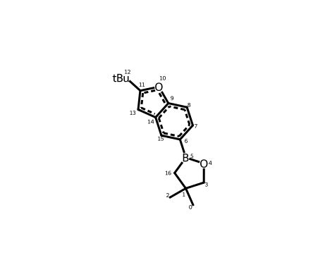 CC1(C)COB(c2ccc3oc(C(C)(C)C)cc3c2)C1